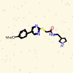 COc1ccc(-c2cnc(SCC(=O)NCC3CCNC3)nc2)cc1